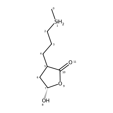 C[SiH2]CCCC1C[C@@H](O)OC1=O